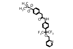 CN(C)S(=O)(=O)c1ccc(CC(=O)Nc2ccc(C(OCc3ccccn3)(C(F)(F)F)C(F)(F)F)cc2)cc1